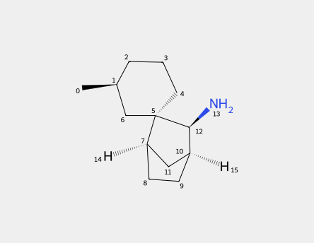 C[C@H]1CCC[C@@]2(C1)[C@@H]1CC[C@@H](C1)[C@@H]2N